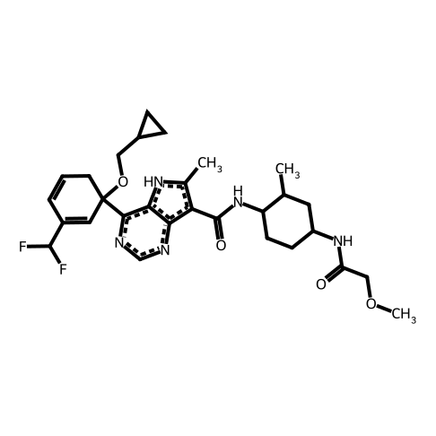 COCC(=O)NC1CCC(NC(=O)c2c(C)[nH]c3c(C4(OCC5CC5)C=C(C(F)F)C=CC4)ncnc23)C(C)C1